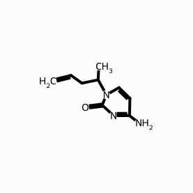 C=CCC(C)n1ccc(N)nc1=O